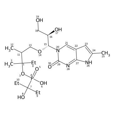 CCC(C)(OP(=O)(O)C(O)(CC)CC)C(C)CO[C@H]([C@H](O)CO)n1cc2cc(C)[nH]c2nc1=O